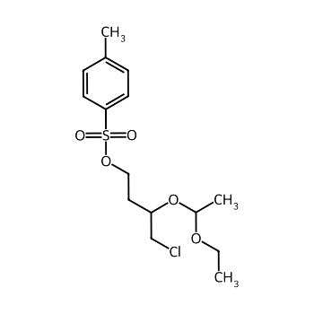 CCOC(C)OC(CCl)CCOS(=O)(=O)c1ccc(C)cc1